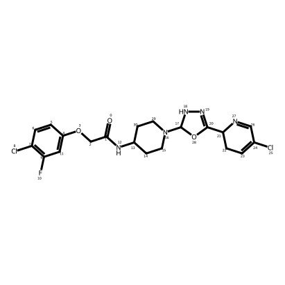 O=C(COc1ccc(Cl)c(F)c1)NC1CCN(C2NN=C(C3CC=C(Cl)C=N3)O2)CC1